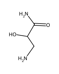 NCC(O)C(N)=O